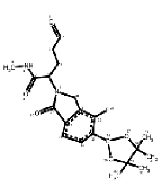 CNC(=O)C(CCC=O)N1Cc2c(ccc(B3OC(C)(C)C(C)(C)O3)c2F)C1=O